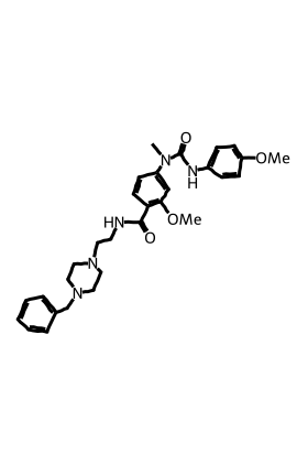 COc1ccc(NC(=O)N(C)c2ccc(C(=O)NCCN3CCN(Cc4ccccc4)CC3)c(OC)c2)cc1